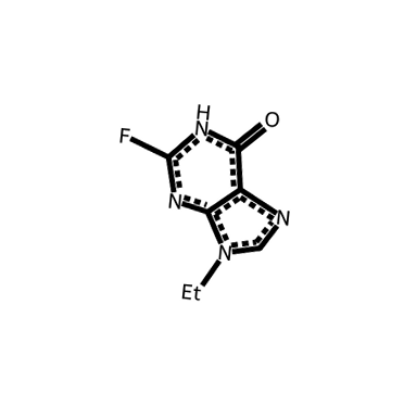 CCn1cnc2c(=O)[nH]c(F)nc21